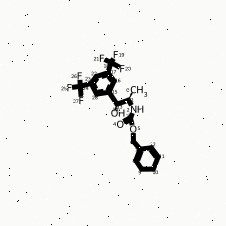 C[C@H](NC(=O)OCC1=CCCC=C1)[C@H](O)c1cc(C(F)(F)F)cc(C(F)(F)F)c1